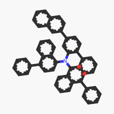 c1ccc(-c2ccc(-c3ccc4ccccc4c3)cc2N(c2ccc(-c3ccccc3)c3ccccc23)c2ccc(-c3ccccc3)c3ccccc23)cc1